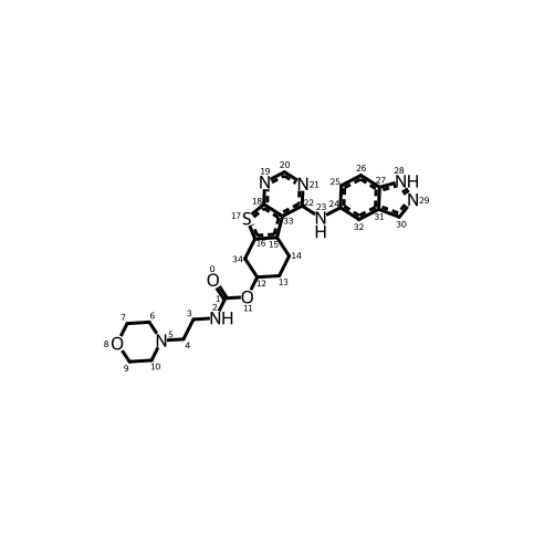 O=C(NCCN1CCOCC1)OC1CCc2c(sc3ncnc(Nc4ccc5[nH]ncc5c4)c23)C1